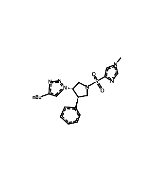 CCCCc1cn([C@@H]2CN(S(=O)(=O)c3cn(C)cn3)C[C@H]2c2ccccc2)nn1